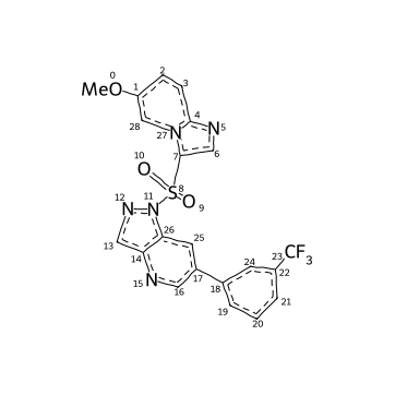 COc1ccc2ncc(S(=O)(=O)n3ncc4ncc(-c5cccc(C(F)(F)F)c5)cc43)n2c1